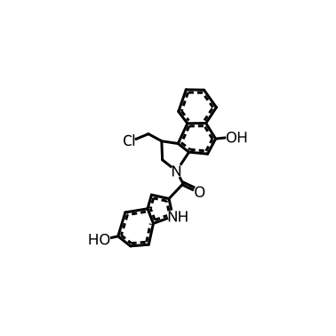 O=C(c1cc2cc(O)ccc2[nH]1)N1CC(CCl)c2c1cc(O)c1ccccc21